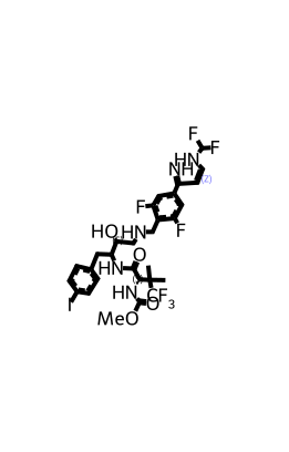 COC(=O)N[C@H](C(=O)NC(Cc1ccc(I)cc1)[C@@H](O)CNCc1c(F)cc(C(=N)/C=C\NC(F)F)cc1F)C(C)(C)C(F)(F)F